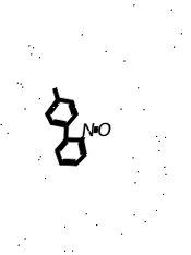 Cc1ccc(-c2ccccc2N=O)cc1